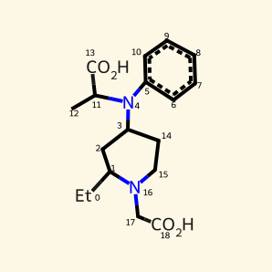 CCC1CC(N(c2ccccc2)C(C)C(=O)O)CCN1CC(=O)O